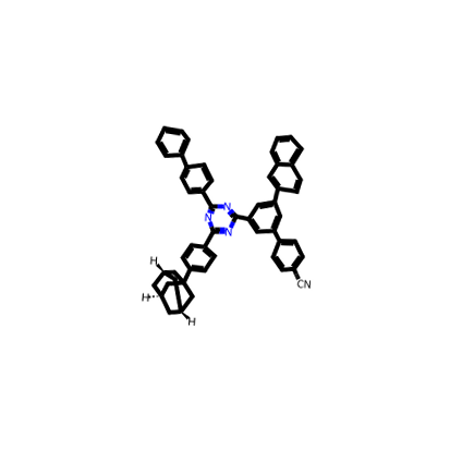 N#Cc1ccc(-c2cc(-c3ccc4ccccc4c3)cc(-c3nc(-c4ccc(-c5ccccc5)cc4)nc(-c4ccc(C56C[C@H]7C[C@@H](C5)C[C@@H](C6)C7)cc4)n3)c2)cc1